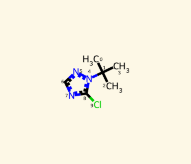 CC(C)(C)n1ncnc1Cl